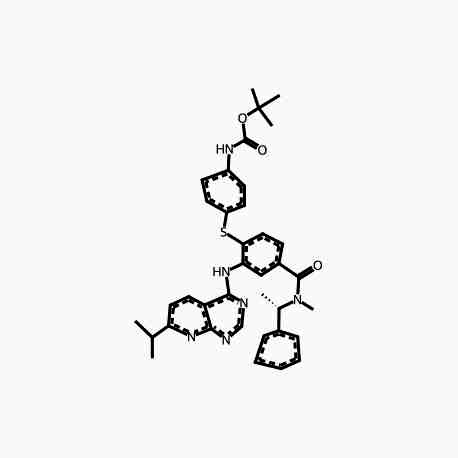 CC(C)c1ccc2c(Nc3cc(C(=O)N(C)[C@@H](C)c4ccccc4)ccc3Sc3ccc(NC(=O)OC(C)(C)C)cc3)ncnc2n1